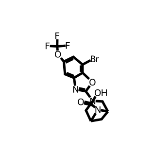 O=C(O)N1C2CC1CN(c1nc3cc(OC(F)(F)F)cc(Br)c3o1)C2